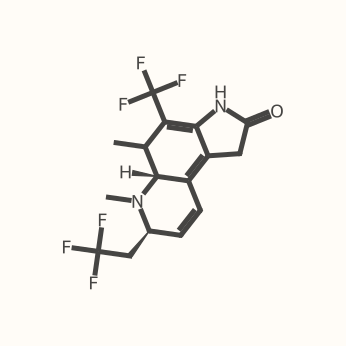 CC1C(C(F)(F)F)=C2NC(=O)CC2=C2C=C[C@@H](CC(F)(F)F)N(C)[C@@H]21